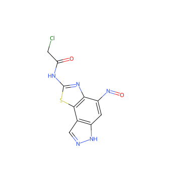 O=Nc1cc2[nH]ncc2c2sc(NC(=O)CCl)nc12